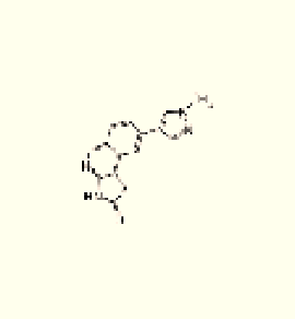 Cn1cc(-c2ccc3cnc4c(c3c2)CC(=O)N4)cn1